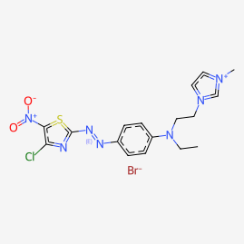 CCN(CCn1cc[n+](C)c1)c1ccc(/N=N/c2nc(Cl)c([N+](=O)[O-])s2)cc1.[Br-]